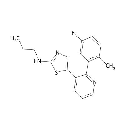 CCCNc1ncc(-c2cccnc2-c2cc(F)ccc2C)s1